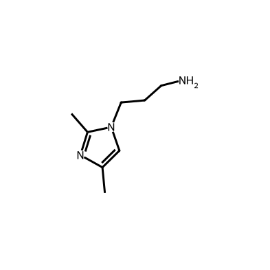 Cc1cn(CCCN)c(C)n1